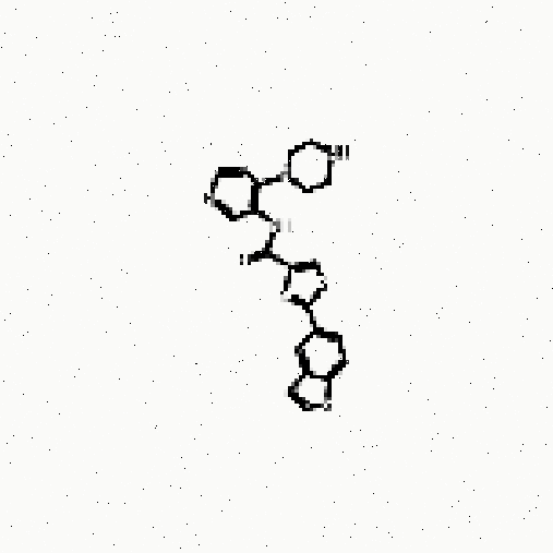 O=C(Nc1cnccc1N1CCNCC1)c1csc(-c2ccc3sccc3c2)n1